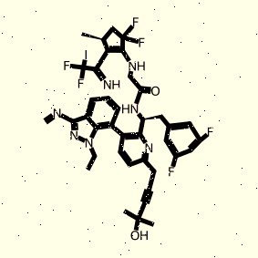 C=Nc1nn(CC)c2c(-c3ccc(CC#CC(C)(C)O)nc3[C@H](Cc3cc(F)cc(F)c3)NC(=O)CNC3=C(C(=N)C(F)(F)I)[C@@H](C)CC3(F)F)cccc12